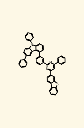 c1ccc(-c2ccc3c(c2)c2c(-c4cccc(-c5nc(-c6ccccc6)cc(-c6ccc7c(c6)sc6ccccc67)n5)c4)cccc2n3-c2ccccc2)cc1